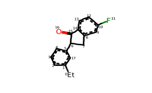 CCc1cccc(C2Cc3cc(F)ccc3C2=O)c1